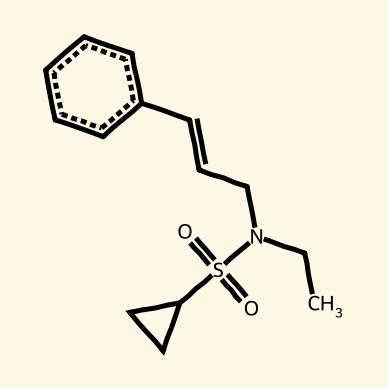 CCN(CC=Cc1ccccc1)S(=O)(=O)C1CC1